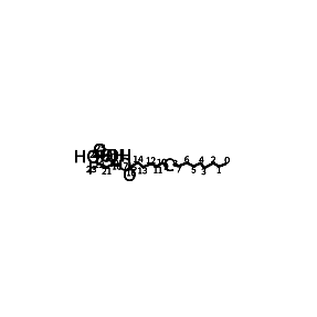 CCCCCCCCCCCCCCCC(=O)OC[C@@H](O)CC(F)P(=O)(O)O